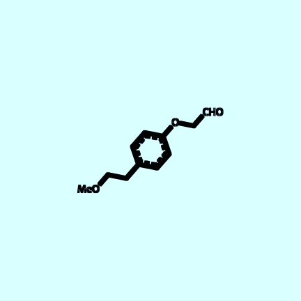 COCCc1ccc(OCC=O)cc1